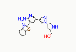 Nc1ncc(-c2cnn(C3CNC(CO)C3)c2)cc1-c1nc2ccccc2s1